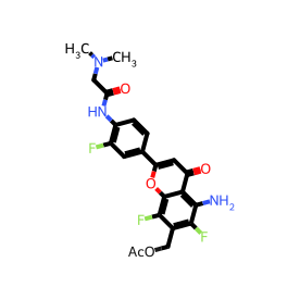 CC(=O)OCc1c(F)c(N)c2c(=O)cc(-c3ccc(NC(=O)CN(C)C)c(F)c3)oc2c1F